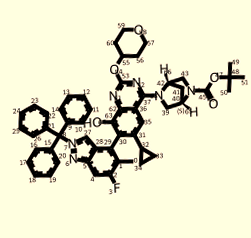 Cc1c(F)cc2nn(C(c3ccccc3)(c3ccccc3)c3ccccc3)cc2c1-c1c(C2CC2)cc2c(N3C[C@@H]4C[C@H]3CN4C(=O)OC(C)(C)C)nc(OC3CCOCC3)nc2c1O